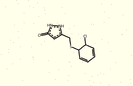 O=c1cc(CSC2C=CC=CC2Cl)[nH][nH]1